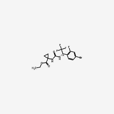 CCOC(=O)C1(NC(=O)N[C@@H](c2ccc(Br)cc2F)C(F)(F)F)CC1